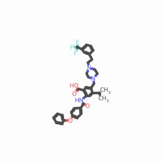 CC(C)c1cc(NC(=O)c2ccc(Oc3ccccc3)cc2)c(C(=O)O)cc1CN1CCN(CCc2cccc(C(F)(F)F)c2)CC1